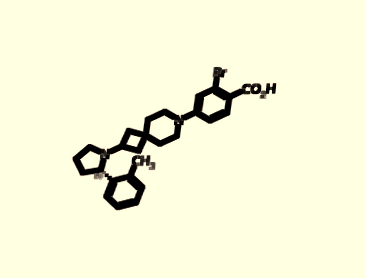 Cc1ccccc1[C@@H]1CCCN1C1CC2(CCN(c3ccc(C(=O)O)c(Br)c3)CC2)C1